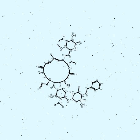 CC[C@H]1OC(=O)C[C@@H](O)[C@H](C)[C@@H](O[C@@H]2O[C@H](C)[C@@H](O[C@H]3C[C@@](C)(O)[C@@H](OCc4ccccc4)[C@H](C)O3)[C@H](N(C)C)[C@H]2O)[C@@H](CC=O)C[C@@H](C)C(=O)/C=C/C(C)=C/[C@@H]1CO[C@@H]1O[C@H](C)[C@@H](O)[C@@H](OC)[C@H]1OC